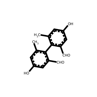 Cc1cc(O)cc(C=O)c1-c1c(C)cc(O)cc1C=O